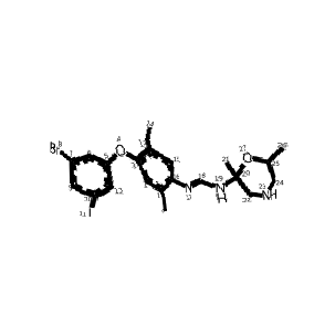 Cc1cc(Oc2cc(Br)cc(I)c2)c(C)cc1/N=C/NC1(C)CNCC(C)O1